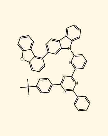 CC(C)(C)c1ccc(-c2nc(-c3ccccc3)nc(-c3cccc(-n4c5ccccc5c5ccc(-c6cccc7oc8ccccc8c67)cc54)n3)n2)cc1